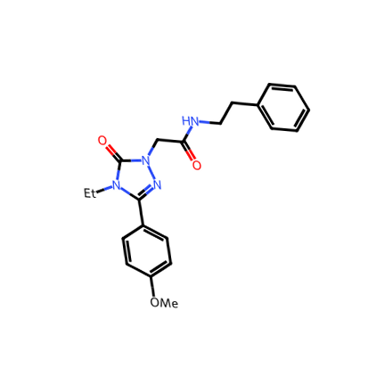 CCn1c(-c2ccc(OC)cc2)nn(CC(=O)NCCc2ccccc2)c1=O